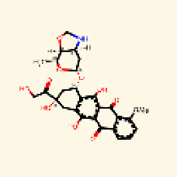 COc1cccc2c1C(=O)c1c(O)c3c(c(O)c1C2=O)C[C@@](O)(C(=O)CO)C[C@@H]3O[C@H]1C[C@@H]2NCO[C@@H]2[C@H](C)O1